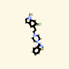 CC(=O)N1CCc2cc(CCN3CCN(c4nsc5ccccc45)CC3)c(Cl)cc21